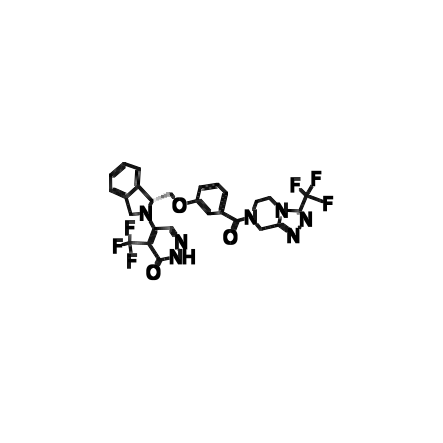 O=C(c1cccc(OC[C@H]2c3ccccc3CN2c2cn[nH]c(=O)c2C(F)(F)F)c1)N1CCn2c(nnc2C(F)(F)F)C1